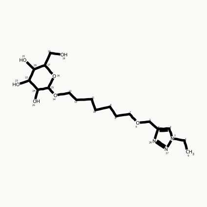 CCn1cc(COCCCCCCCOC2OC(CO)C(O)C(O)C2O)nn1